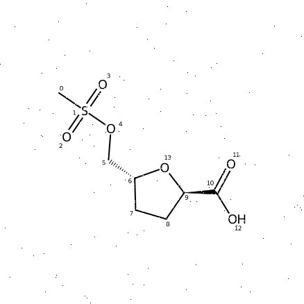 CS(=O)(=O)OC[C@H]1CC[C@H](C(=O)O)O1